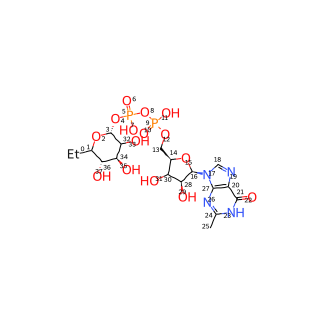 CCC1O[C@H](OP(=O)(O)OP(=O)(O)OC[C@H]2O[C@@H](n3cnc4c(=O)[nH]c(C)nc43)[C@@H](O)C2O)C(O)[C@@H](O)[C@@H]1O